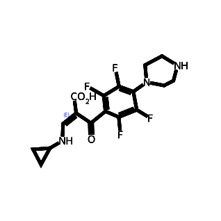 O=C(O)/C(=C/NC1CC1)C(=O)c1c(F)c(F)c(N2CCNCC2)c(F)c1F